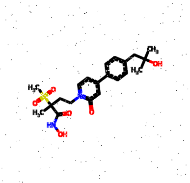 CC(C)(O)Cc1ccc(-c2ccn(CCC(C)(C(=O)NO)S(C)(=O)=O)c(=O)c2)cc1